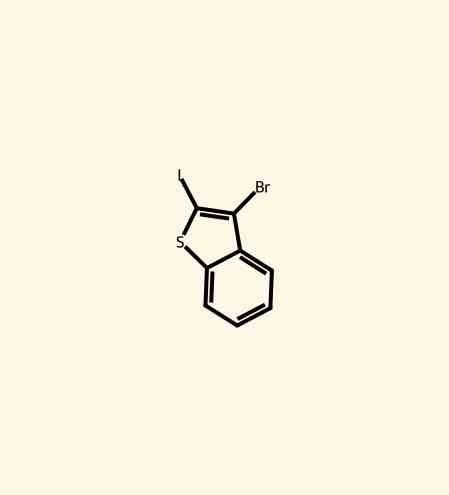 Brc1c(I)sc2ccccc12